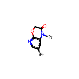 CC(C)c1cnc2c(c1)N(C(C)C)C(=O)CO2